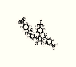 CN(C)C1=CC=C(C(=O)C2=C(O)C(=O)N(c3ncc(S(=O)(=O)C4C=CC([N+](=O)[O-])=CC4)s3)C2c2ccc(C(C)(C)C)cc2)CC1